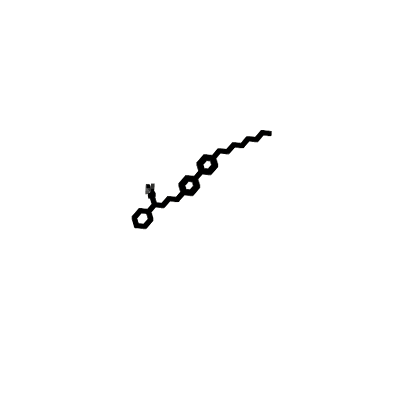 CCCCCCCCc1ccc(-c2ccc(CCCC(C#N)C3CCCCC3)cc2)cc1